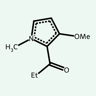 CCC(=O)c1c(OC)ccn1C